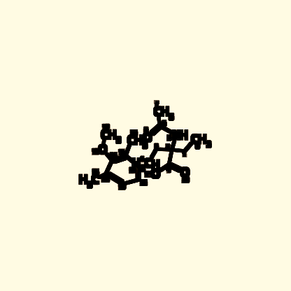 CCC(CC)(NC(C)=O)C(=O)O.COc1c(C)cccc1C